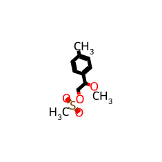 COC(COS(C)(=O)=O)c1ccc(C)cc1